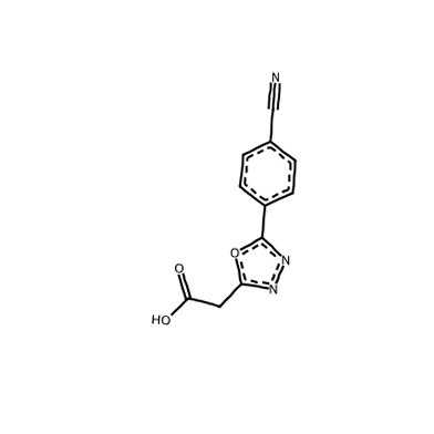 N#Cc1ccc(-c2nnc(CC(=O)O)o2)cc1